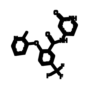 Cc1ncccc1Oc1ccc(C(F)(F)F)cc1C(=O)Nc1cc[nH]c(=O)c1